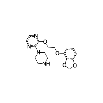 c1cc(OCCOc2nccnc2N2CCNCC2)c2c(c1)OCO2